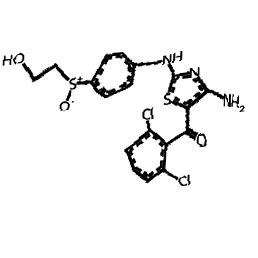 Nc1nc(Nc2ccc([S+]([O-])CCO)cc2)sc1C(=O)c1c(Cl)cccc1Cl